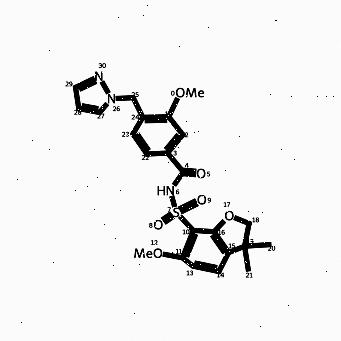 COc1cc(C(=O)NS(=O)(=O)c2c(OC)ccc3c2OCC3(C)C)ccc1Cn1cccn1